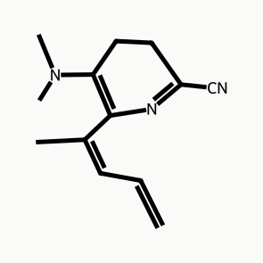 C=C/C=C(/C)C1=C(N(C)C)CCC(C#N)=N1